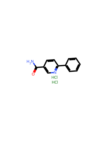 Cl.Cl.NC(=O)c1ccc(-c2ccccc2)nc1